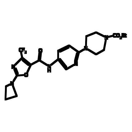 CCOC(=O)N1CCN(c2ccc(NC(=O)c3oc(N4CCC4)nc3C(F)(F)F)cn2)CC1